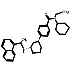 C[C@@H](N[C@H]1CCC[C@H](c2ccc(C(=O)N(CC(=O)O)C3CCCCC3)cc2)C1)c1cccc2ccccc12